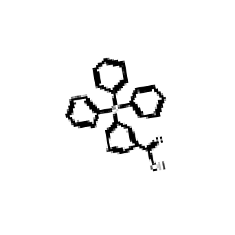 O=C(O)c1cccc([Si](c2ccccc2)(c2ccccc2)c2ccccc2)c1